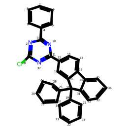 Clc1nc(-c2ccccc2)nc(-c2ccc3c(c2)C(c2ccccc2)(c2ccccc2)c2ccccc2-3)n1